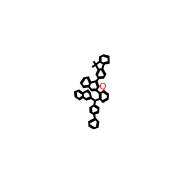 CC1(C)c2ccccc2-c2ccc(-c3c4ccccc4cc4c3oc3cccc(C(c5ccc(-c6ccccc6)cc5)c5ccc6ccccc6c5)c34)cc21